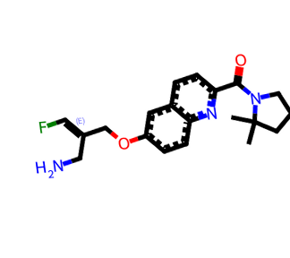 CC1(C)CCCN1C(=O)c1ccc2cc(OC/C(=C/F)CN)ccc2n1